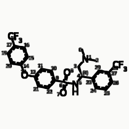 CN(C)C[C@H](NS(=O)(=O)c1ccc(Oc2ccc(C(F)(F)F)cc2)cc1)c1cccc(C(F)(F)F)c1